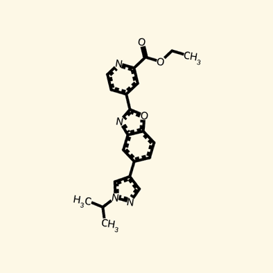 CCOC(=O)c1cc(-c2nc3cc(-c4cnn(C(C)C)c4)ccc3o2)ccn1